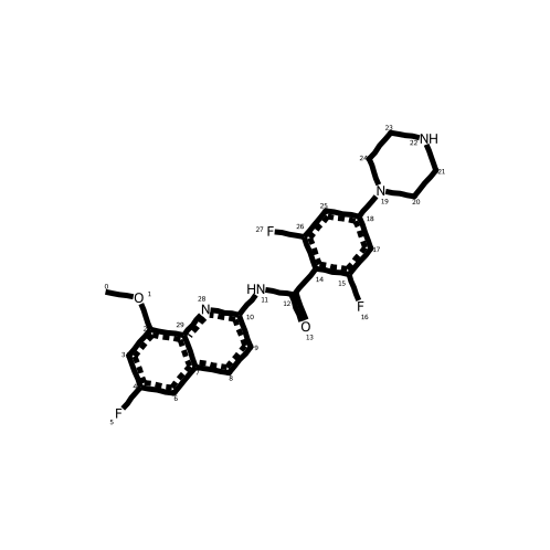 COc1cc(F)cc2ccc(NC(=O)c3c(F)cc(N4CCNCC4)cc3F)nc12